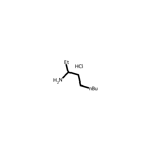 CCCCCCC(N)CC.Cl